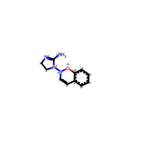 NC1=NCCN1N1C=Cc2ccccc2O1